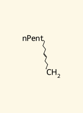 C=CCCC=CCCCCCCCC